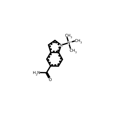 C[N+](C)(C)n1ccc2cc(C(N)=O)ccc21